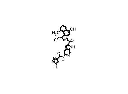 Cc1cccc2c(O)cc3c(c12)[C@H](CCl)CN3C(=O)c1cc2cc(NC(=O)c3c[nH]nn3)ncc2[nH]1